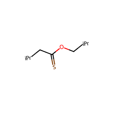 CC(C)COC(=S)CC(C)C